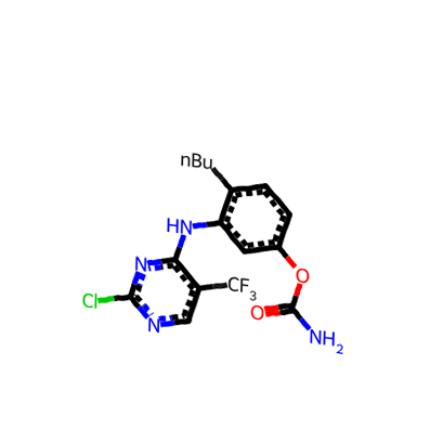 CCCCc1ccc(OC(N)=O)cc1Nc1nc(Cl)ncc1C(F)(F)F